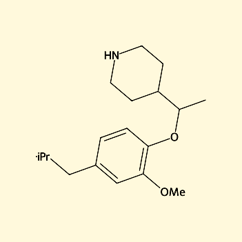 COc1cc(C[C](C)C)ccc1OC(C)C1CCNCC1